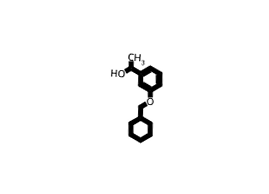 CC(O)c1cccc(OCC2CCCCC2)c1